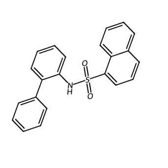 O=S(=O)(Nc1ccccc1-c1ccccc1)c1cccc2ccccc12